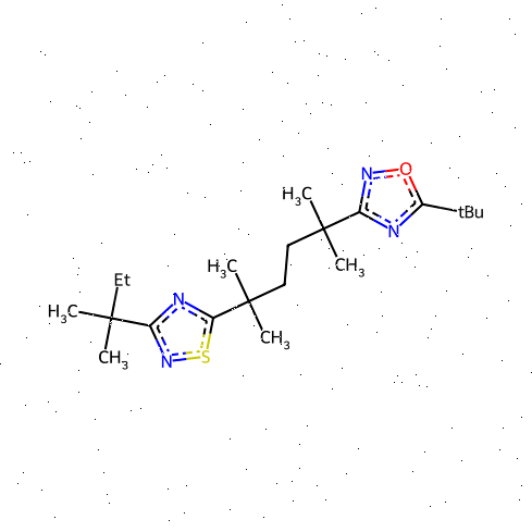 CCC(C)(C)c1nsc(C(C)(C)CCC(C)(C)c2noc(C(C)(C)C)n2)n1